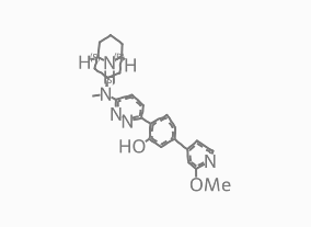 COc1cc(-c2ccc(-c3ccc(N(C)[C@@H]4C[C@H]5CCC[C@@H](C4)N5)nn3)c(O)c2)ccn1